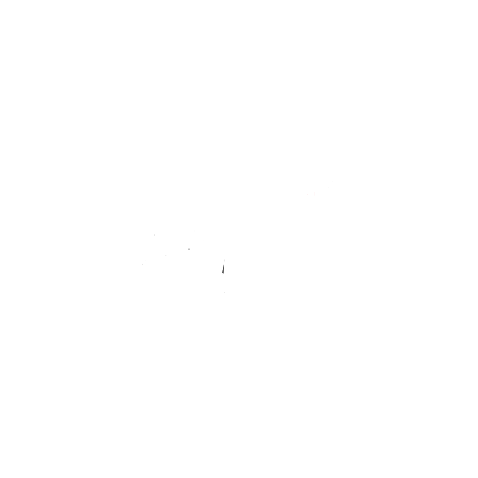 C#C[C@H](Cc1cccc(COC)c1)O[Si](C)(C)C(C)(C)C